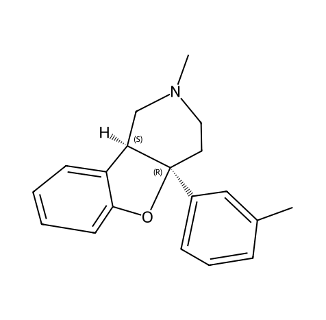 Cc1cccc([C@@]23CCN(C)C[C@@H]2c2ccccc2O3)c1